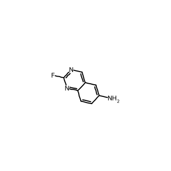 Nc1ccc2nc(F)ncc2c1